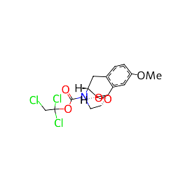 COc1ccc2c(c1)[C@]13CCN(C(=O)OC(Cl)(Cl)CCl)[C@H](C2)[C@@H]1OCOC3